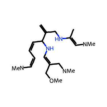 C=C(CN/C(C)=C/NC)C(/C=C\C=C/NC)N/C=C(\CNC)COC